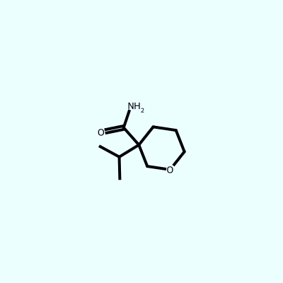 CC(C)C1(C(N)=O)CCCOC1